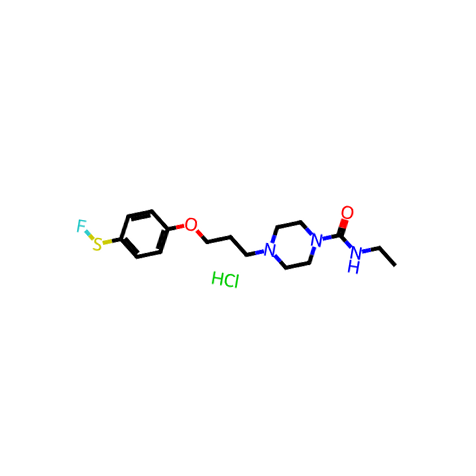 CCNC(=O)N1CCN(CCCOc2ccc(SF)cc2)CC1.Cl